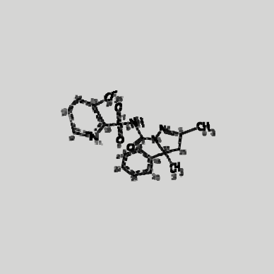 CC1=NN(C(=O)NS(=O)(=O)c2ncccc2C(F)(F)F)C(C)(c2ccccc2)C1